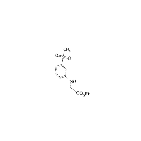 CCOC(=O)CNc1cccc(S(C)(=O)=O)c1